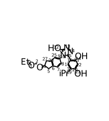 CCOCOC1Cc2ccc(-n3c(O)nnc3-c3cc(C(C)C)c(O)cc3O)cc2C1